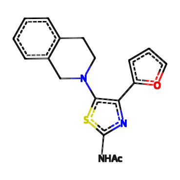 CC(=O)Nc1nc(-c2ccco2)c(N2CCc3ccccc3C2)s1